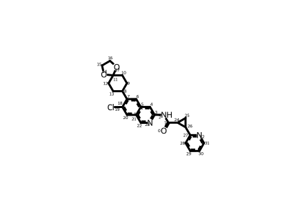 O=C(Nc1cc2cc(C3CCC4(CC3)OCCO4)c(Cl)cc2cn1)C1CC1c1ccccn1